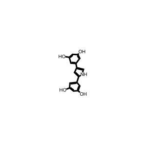 Oc1cc(O)cc(-c2c[nH]c(-c3cc(O)cc(O)c3)c2)c1